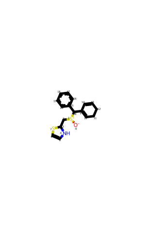 [O-][S+](CC1NC=CS1)C(C1=CCCC=C1)c1ccccc1